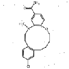 CN1CCc2ccc(Cl)cc2CCCCOc2ccc(C(N)=O)cc21